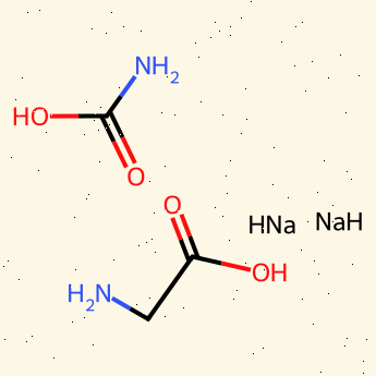 NC(=O)O.NCC(=O)O.[NaH].[NaH]